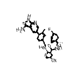 Cc1cc(CNc2ncc(C#N)cc2C(=O)N[C@@H](C)c2ccc(F)cc2)ccc1-c1cnc2[nH]nc(N)c2c1